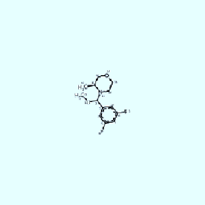 COC(c1cc(F)cc(F)c1)N1CCOC[C@@H]1C